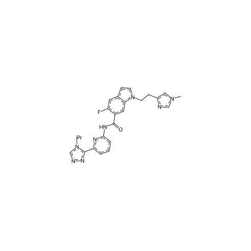 CC(C)n1cnnc1-c1cccc(NC(=O)c2cc3c(ccn3CCc3cn(C)cn3)cc2F)n1